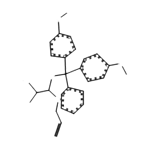 C=CCOC(OC(c1ccccc1)(c1ccc(OC)cc1)c1ccc(OC)cc1)C(C)O